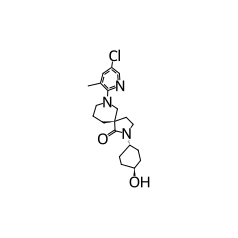 Cc1cc(Cl)cnc1N1CCC[C@]2(CCN([C@H]3CC[C@H](O)CC3)C2=O)C1